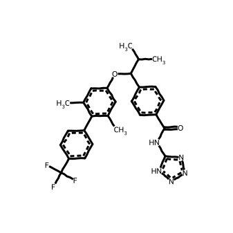 Cc1cc(OC(c2ccc(C(=O)Nc3nnn[nH]3)cc2)C(C)C)cc(C)c1-c1ccc(C(F)(F)F)cc1